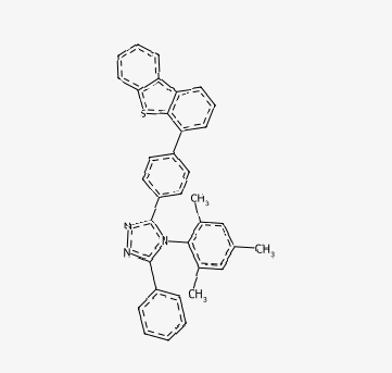 Cc1cc(C)c(-n2c(-c3ccccc3)nnc2-c2ccc(-c3cccc4c3sc3ccccc34)cc2)c(C)c1